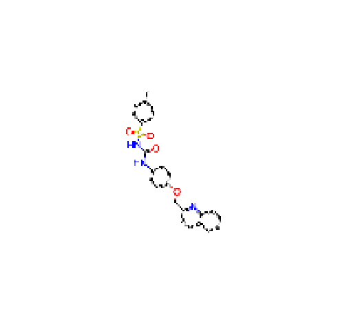 Cc1ccc(S(=O)(=O)NC(=O)Nc2ccc(OCc3ccc4ccccc4n3)cc2)cc1